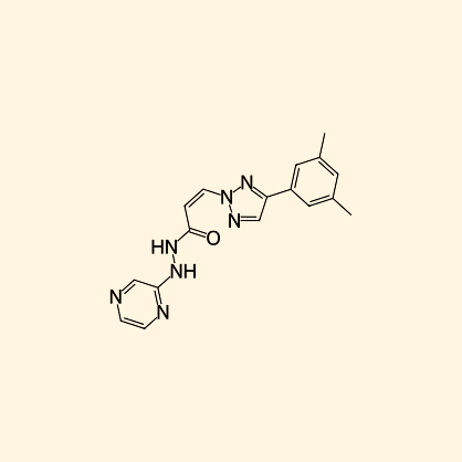 Cc1cc(C)cc(-c2cnn(/C=C\C(=O)NNc3cnccn3)n2)c1